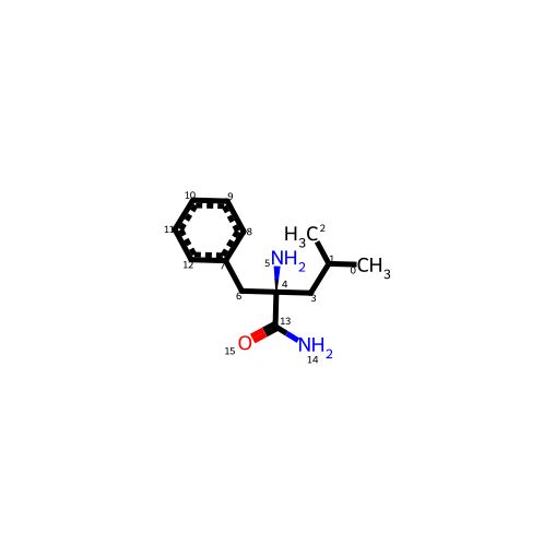 CC(C)C[C@@](N)(Cc1ccccc1)C(N)=O